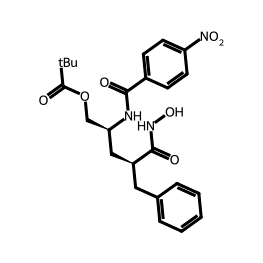 CC(C)(C)C(=O)OC[C@H](C[C@H](Cc1ccccc1)C(=O)NO)NC(=O)c1ccc([N+](=O)[O-])cc1